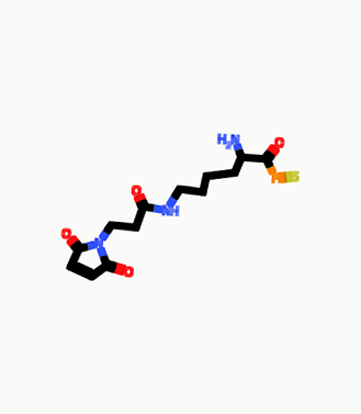 NC(CCCCNC(=O)CCN1C(=O)C=CC1=O)C(=O)P=S